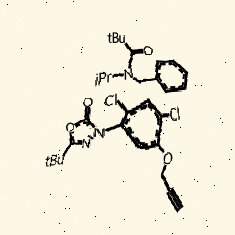 C#CCOc1cc(-n2nc(C(C)(C)C)oc2=O)c(Cl)cc1Cl.CC(C)N(Cc1ccccc1)C(=O)C(C)(C)C